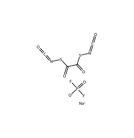 O=C=NSC(=O)C(=O)SN=C=O.O=P([O-])(F)F.[Na+]